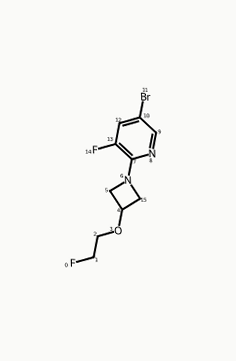 FCCOC1CN(c2ncc(Br)cc2F)C1